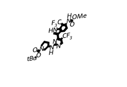 COC(=O)Nc1ccc2c(-c3nc(NC4CCCN(C(=O)OC(C)(C)C)C4)ncc3C(F)(F)F)c[nH]c2c1C(F)(F)F